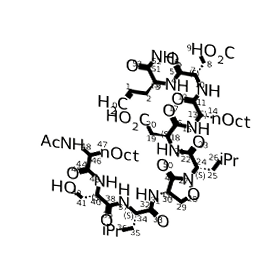 C=CC[C@H](NC(=O)[C@H](CC(=O)O)NC(=O)[C@H](CCCCCCCC)NC(=O)[C@H](CC(=O)O)NC(=O)[C@H](CC(C)C)N1OC[C@H](NC(=O)[C@H](CC(C)C)NC(=O)[C@H](CO)NC(=O)C(CCCCCCCC)NC(C)=O)C1=O)C(N)=O